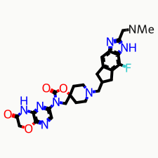 CNCc1nc2cc3c(c(F)c2[nH]1)CC(CN1CCC2(CC1)CN(c1cnc4c(n1)NC(=O)CO4)C(=O)O2)C3